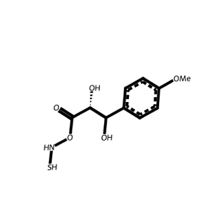 COc1ccc(C(O)[C@@H](O)C(=O)ONS)cc1